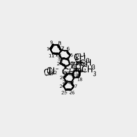 CC1=Cc2c(ccc3ccccc23)[CH]1[Zr+2]([CH]1C(C)=Cc2c1ccc1ccccc21)[SiH](C)C.[Cl-].[Cl-]